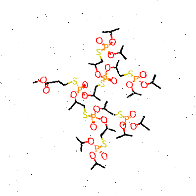 COC(=O)CCSP(=O)(OC(C)CSP(=O)(OC(C)CSP(=O)(OC(C)C)OC(C)C)OC(C)CSP(=O)(OC(C)C)OC(C)C)OC(C)CSP(=O)(OC(C)CSP(=O)(OC(C)C)OC(C)C)OC(C)CSP(=O)(OC(C)C)OC(C)C